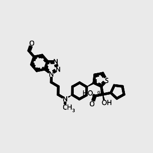 CN(CCCn1nnc2cc(C=O)ccc21)[C@H]1CC[C@H](c2ccsc2[C@@](O)(C(=O)O)C2CCCC2)CC1